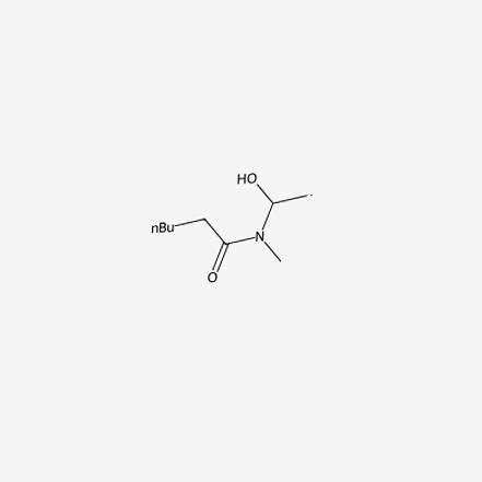 [CH2]C(O)N(C)C(=O)CCCCC